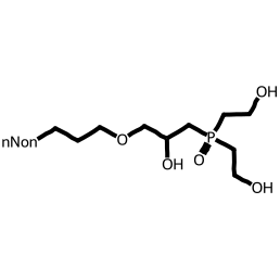 CCCCCCCCCCCCOCC(O)CP(=O)(CCO)CCO